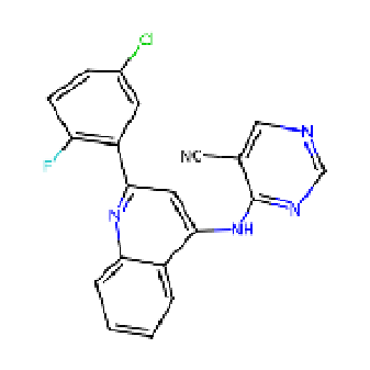 N#Cc1cncnc1Nc1cc(-c2cc(Cl)ccc2F)nc2ccccc12